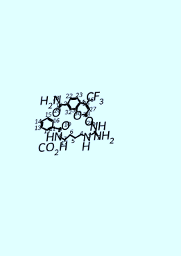 N=C(N)NCCC[C@H](NC(=O)c1ccccc1)C(=O)O.NC(=O)c1ccc2c(C(F)(F)F)cc(=O)oc2c1